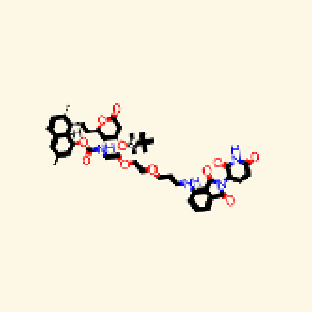 C[C@H]1C=C2C=C[C@H](C)[C@H](CC[C@@H]3C[C@@H](O[Si](C)(C)C(C)(C)C)CC(=O)O3)[C@H]2[C@@H](OC(=O)NCCOCCOCCCNc2cccc3c2C(=O)N(C2CCC(=O)NC2=O)C3=O)C1